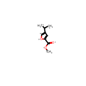 COC(=O)c1cc(C(C)C)co1